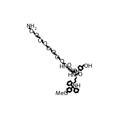 COc1ccc(C(NCCCC[C@H](NC(=O)COCC(=O)NCCOCCOCCOCCOCCOCCOCCOCCOCCN)C(=O)NC2=CC=C(CO)CC2)(c2ccccc2)c2ccccc2)cc1